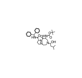 CC(C)CC(O)N1CCN2CC[C@@H](C(=O)NC(c3ccccc3)c3ccccc3)N2C(=O)[C@@H](NC(=O)OC(C)(C)C)C1